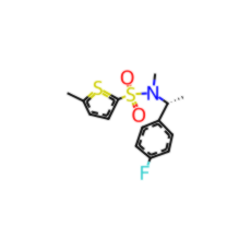 Cc1ccc(S(=O)(=O)N(C)[C@H](C)c2ccc(F)cc2)s1